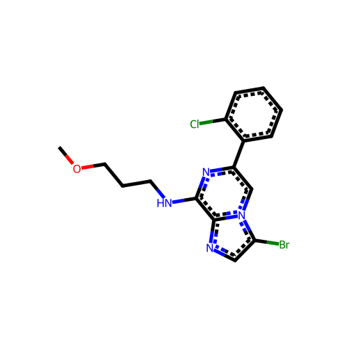 COCCCNc1nc(-c2ccccc2Cl)cn2c(Br)cnc12